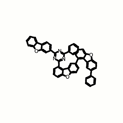 c1ccc(-c2ccc3oc4cccc(-c5ccc6oc7cccc(-c8nc(-c9ccccc9)nc(-c9ccc%10c(c9)oc9ccccc9%10)n8)c7c6c5)c4c3c2)cc1